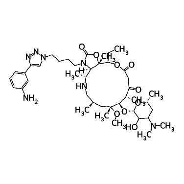 CC[C@H]1OC(=O)CC(=O)[C@H](C)[C@@H](O[C@@H]2O[C@H](C)CC(N(C)C)C2O)[C@](C)(OC)C[C@@H](C)CN[C@H](C)[C@H]2N(CCCCn3cc(-c4cccc(N)c4)nn3)C(=O)O[C@]12C